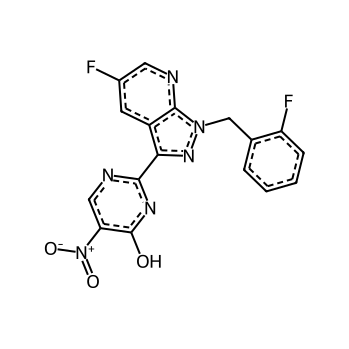 O=[N+]([O-])c1cnc(-c2nn(Cc3ccccc3F)c3ncc(F)cc23)nc1O